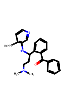 CC(=O)Nc1ccncc1NC(CCN(C)C)c1ccccc1C(=O)c1ccccc1